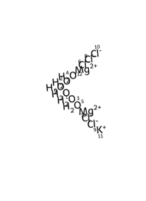 O.O.O.O.O.O.[Cl-].[Cl-].[Cl-].[Cl-].[Cl-].[K+].[Mg+2].[Mg+2]